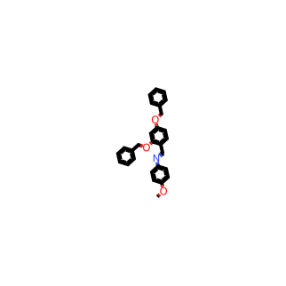 COc1ccc(N=Cc2ccc(OCc3ccccc3)cc2OCc2ccccc2)cc1